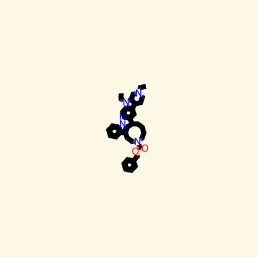 CCN1CCC2c3cc(C4CCCCN(C(=O)OCc5ccccc5)CCc5c4[nH]c4ccccc54)ccc3N(CC)C2C1